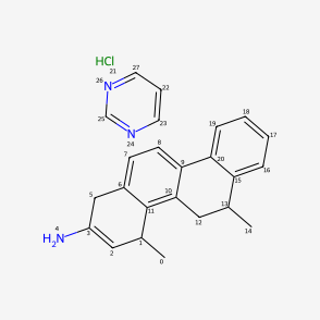 CC1C=C(N)Cc2ccc3c(c21)CC(C)c1ccccc1-3.Cl.c1cncnc1